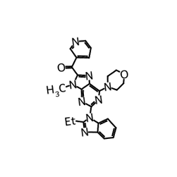 CCc1nc2ccccc2n1-c1nc(N2CCOCC2)c2nc(C(=O)c3cccnc3)n(C)c2n1